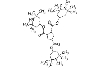 CN1C(C)(C)CC(OC(=O)C2CC(C(=O)OC3CC(C)(C)NC(C)(C)C3)C(C(=O)OC3CC(C)(C)N(C)C(C)(C)C3)C2)CC1(C)C